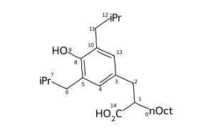 CCCCCCCCC(Cc1cc(CC(C)C)c(O)c(CC(C)C)c1)C(=O)O